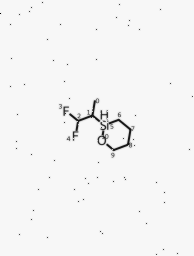 CC(C(F)F)[SiH]1CCCCO1